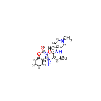 CN1CCC(C#N)(NC(=O)C(CC(C)(C)C)Nc2nc(=O)oc3ccccc23)CC1